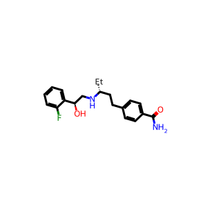 CC[C@H](CCc1ccc(C(N)=O)cc1)NC[C@@H](O)c1ccccc1F